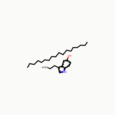 CC(=O)NCCc1c[nH]c2ccc(O)cc12.CCCCCCCCCCCCCCCCCC